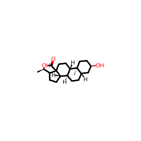 CC(=O)C12CC[C@H]3[C@@H](CC[C@H]4C[C@H](O)CC[C@@]43C)[C@@H]1CCC2[C@@H](C)O